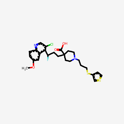 COc1ccc2ncc(Cl)c(C(F)CCC3(C(=O)O)CCN(CCCSc4ccsc4)CC3)c2c1